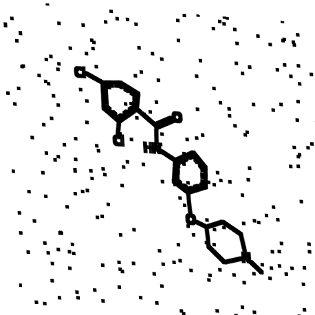 CN1CCC(Oc2cccc(NC(=O)c3ccc(Cl)cc3Cl)c2)CC1